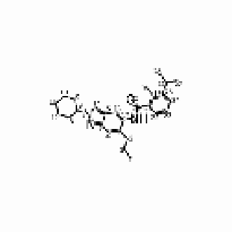 CCCc1cc2nn(C3CCCCC3)cc2cc1NC(=O)c1cccc(C(C)C)[n+]1C